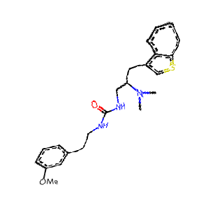 COc1cccc(CCNC(=O)NCC(Cc2csc3ccccc23)N(C)C)c1